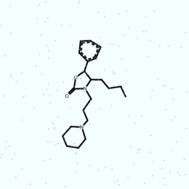 CCCCC1C(c2ccccc2)OC(=O)N1CCCN1CCCCC1